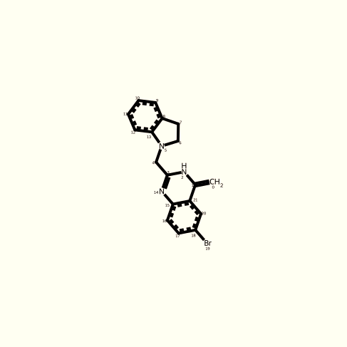 C=C1NC(CN2CCc3ccccc32)=Nc2ccc(Br)cc21